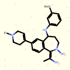 CCN1CC=C(c2ccc3c(c2)C(Nc2cccc(OC)c2)CCN(N)/C3=C(/C)N)CC1